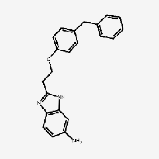 Nc1ccc2nc(CCOc3ccc(Cc4ccccc4)cc3)[nH]c2c1